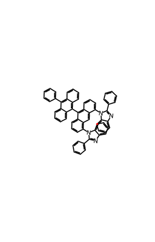 c1ccc(-c2c3ccccc3c(-c3c4cccc(-n5c(-c6ccccc6)nc6ccccc65)c4cc4c(-n5c(-c6ccccc6)nc6ccccc65)cccc34)c3ccccc23)cc1